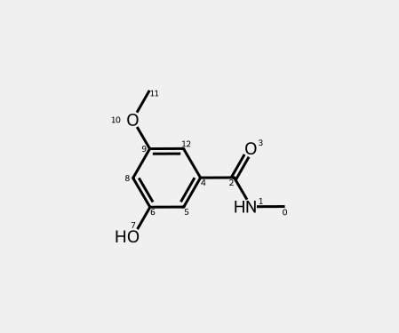 CNC(=O)c1cc(O)cc(OC)c1